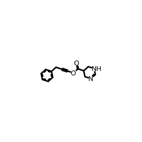 O=C(OC#CCc1ccccc1)C1CN=CNC1